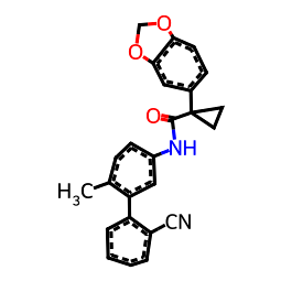 Cc1ccc(NC(=O)C2(c3ccc4c(c3)OCO4)CC2)cc1-c1ccccc1C#N